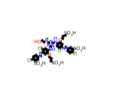 CN(CCO)c1nc(Nc2cc(Cl)c(N=Nc3ccc(Cl)c(S(=O)(=O)O)c3)cc2OCCCS(=O)(=O)O)nc(Nc2cc(Cl)c(N=Nc3ccc(Cl)c(S(=O)(=O)O)c3)cc2OCCCS(=O)(=O)O)n1